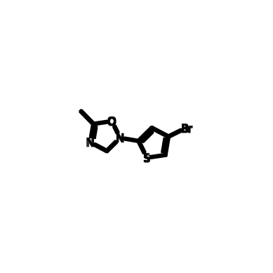 CC1=NCN(c2cc(Br)cs2)O1